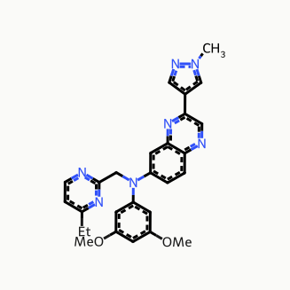 CCc1ccnc(CN(c2cc(OC)cc(OC)c2)c2ccc3ncc(-c4cnn(C)c4)nc3c2)n1